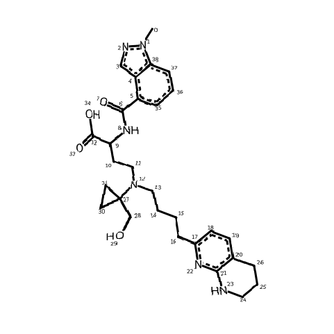 Cn1ncc2c(C(=O)NC(CCN(CCCCc3ccc4c(n3)NCCC4)C3(CO)CC3)C(=O)O)cccc21